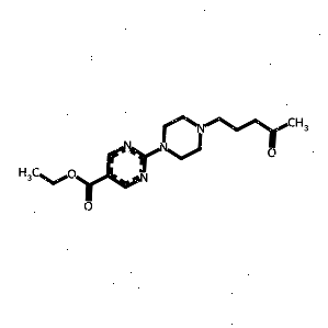 CCOC(=O)c1cnc(N2CCN(CCCC(C)=O)CC2)nc1